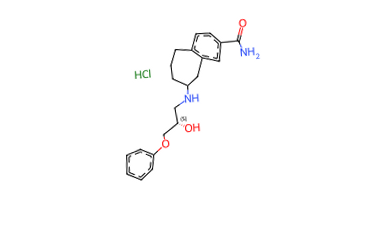 Cl.NC(=O)c1ccc2c(c1)CC(NC[C@H](O)COc1ccccc1)CCC2